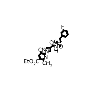 CCOC(=O)c1cc(C#N)c(N2CC(C(=O)NS(=O)(=O)CCc3cccc(F)c3)C2)nc1C